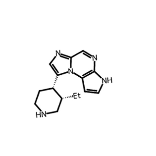 CC[C@@H]1CNCC[C@@H]1c1cnc2cnc3[nH]ccc3n12